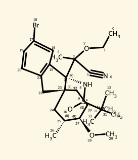 CCOC(C)(C#N)[C@]1(N[S+]([O-])C(C)(C)C)c2cc(Br)ccc2C[C@@]12C[C@@H](C)[C@H](OC)[C@@H](C)C2